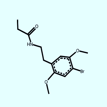 CCC(=O)NCCc1cc(OC)c(Br)cc1OC